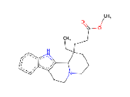 CCC1(CCC(=O)OC)CCCN2CCc3c([nH]c4ccccc34)C21